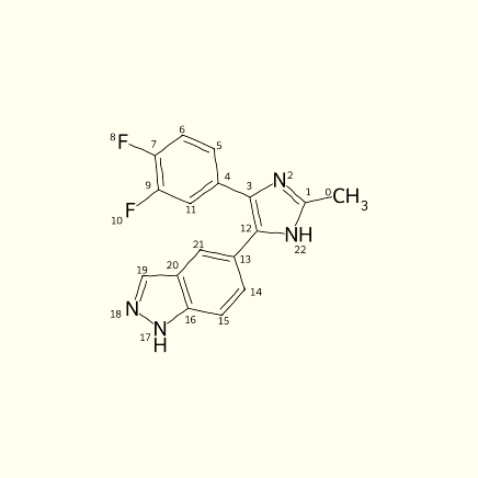 Cc1nc(-c2ccc(F)c(F)c2)c(-c2ccc3[nH]ncc3c2)[nH]1